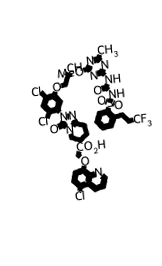 C#CCOc1cc(-n2nc3n(c2=O)CCCC3)c(Cl)cc1Cl.COc1nc(C)nc(NC(=O)NS(=O)(=O)c2ccccc2CCC(F)(F)F)n1.O=C(O)COc1ccc(Cl)c2cccnc12